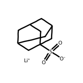 O=S(=O)([O-])C12CC3CC(CC(C3)C1)C2.[Li+]